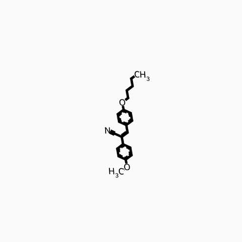 CCCCCOc1ccc(C=C(C#N)c2ccc(OC)cc2)cc1